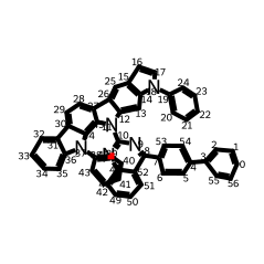 c1ccc(-c2ccc(-c3nc(-n4c5cc6c(ccn6-c6ccccc6)cc5c5ccc6c7ccccc7n(-c7ccccc7)c6c54)nc4ccccc34)cc2)cc1